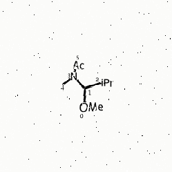 COC(C(C)C)N(C)C(C)=O